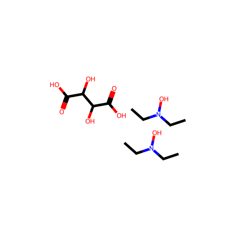 CCN(O)CC.CCN(O)CC.O=C(O)C(O)C(O)C(=O)O